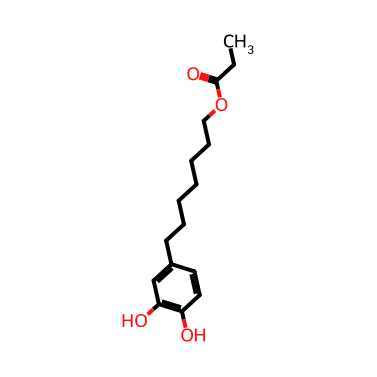 CCC(=O)OCCCCCCCc1ccc(O)c(O)c1